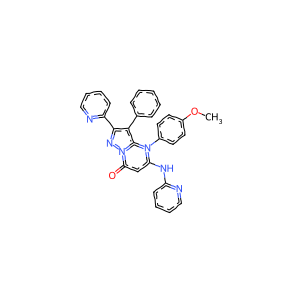 COc1ccc(-n2c(Nc3ccccn3)cc(=O)n3nc(-c4ccccn4)c(-c4ccccc4)c23)cc1